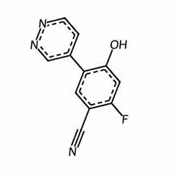 N#Cc1cc(-c2ccnnc2)c(O)cc1F